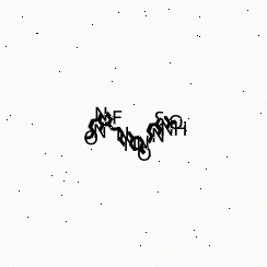 COc1ccc2ncc(F)c(CCN3CCN4CC(=O)N(Cc5ccc6c(n5)NC(=O)CS6)CC4C3)c2n1